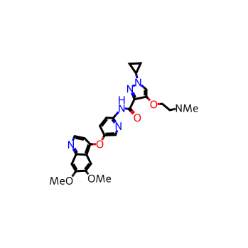 CNCCOc1cn(C2CC2)nc1C(=O)Nc1ccc(Oc2ccnc3cc(OC)c(OC)cc23)cn1